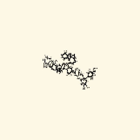 CN1CCC(Nc2ccc(S(=O)(=O)NC(=O)c3ccc(N4CCN(CC5=C(c6ccc(Cl)cc6)CC(C)(C)CC5)CC4)cc3Oc3cccc4[nH]c5ccccc5c34)cc2[N+](=O)[O-])CC1